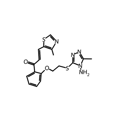 Cc1ncsc1C=CC(=O)c1ccccc1OCCSc1nnc(C)n1N